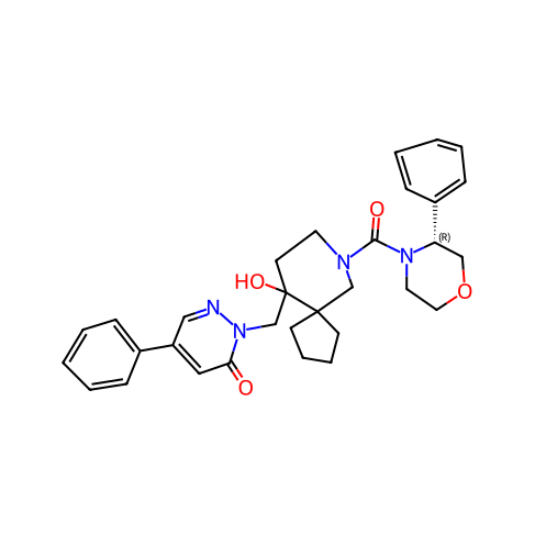 O=C(N1CCC(O)(Cn2ncc(-c3ccccc3)cc2=O)C2(CCCC2)C1)N1CCOC[C@H]1c1ccccc1